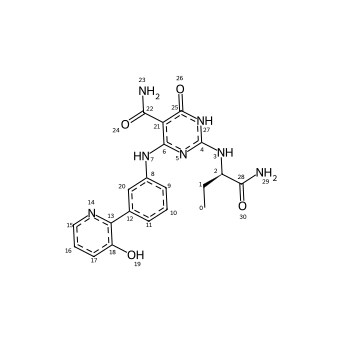 CC[C@@H](Nc1nc(Nc2cccc(-c3ncccc3O)c2)c(C(N)=O)c(=O)[nH]1)C(N)=O